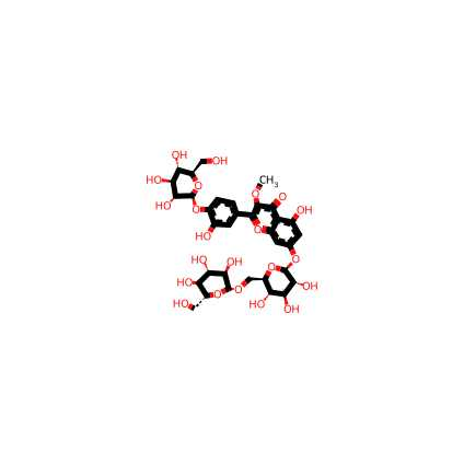 COc1c(-c2ccc(O[C@@H]3O[C@H](CO)[C@@H](O)[C@H](O)[C@H]3O)c(O)c2)oc2cc(O[C@@H]3O[C@H](CO[C@@H]4O[C@H](CO)[C@@H](O)[C@H](O)[C@H]4O)[C@@H](O)[C@H](O)[C@H]3O)cc(O)c2c1=O